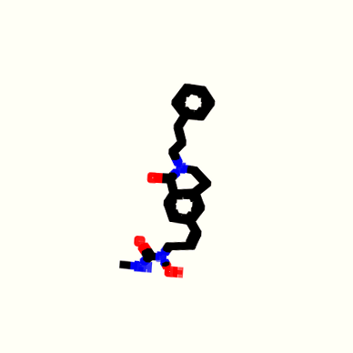 CNC(=O)N(O)C/C=C\c1ccc2c(c1)CCN(CCCc1ccccc1)C2=O